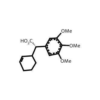 COc1cc([C@@H](C(=O)O)C2C=CCCC2)cc(OC)c1OC